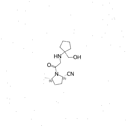 C[C@H]1CC[C@@H](C#N)N1C(=O)CNC1(CO)CCCC1